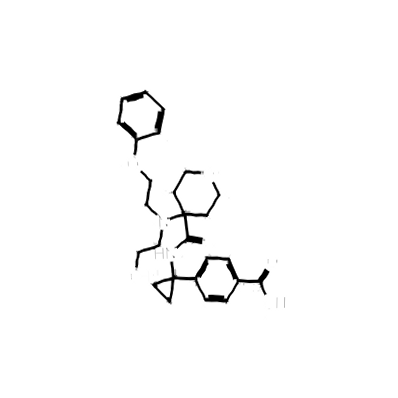 CCCN(CCOc1ccccc1)C1(C(=O)NC2(c3ccc(C(=O)O)cc3)CC2)CCOCC1